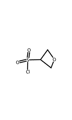 O=S(=O)(Cl)C1COC1